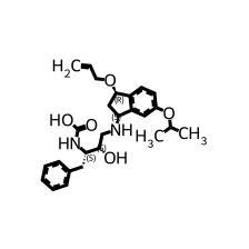 C=CCO[C@@H]1C[C@H](NC[C@H](O)[C@H](Cc2ccccc2)NC(=O)O)c2cc(OC(C)C)ccc21